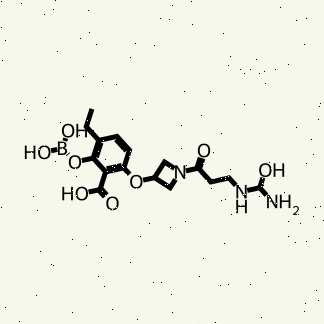 CCc1ccc(OC2CN(C(=O)CCNC(N)O)C2)c(C(=O)O)c1OB(O)O